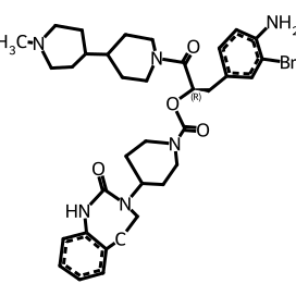 CN1CCC(C2CCN(C(=O)[C@@H](Cc3ccc(N)c(Br)c3)OC(=O)N3CCC(N4CCc5ccccc5NC4=O)CC3)CC2)CC1